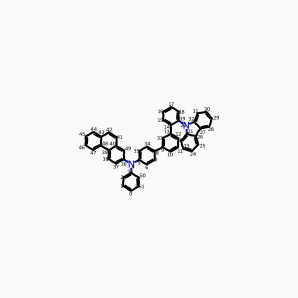 c1ccc(N(c2ccc(-c3cccc(-c4ccccc4-n4c5ccccc5c5ccccc54)c3)cc2)c2ccc3c(ccc4ccccc43)c2)cc1